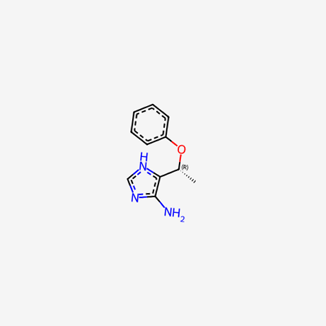 C[C@@H](Oc1ccccc1)c1[nH]cnc1N